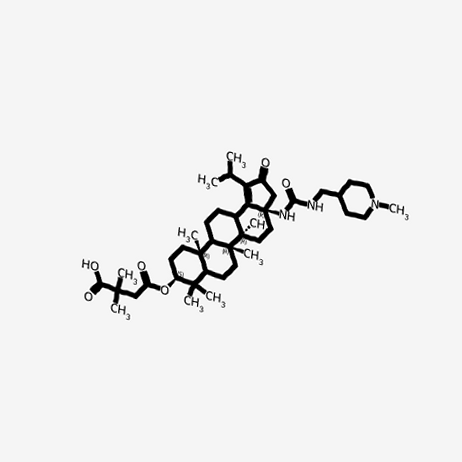 CC(C)C1=C2C3CCC4[C@@]5(C)CC[C@H](OC(=O)CC(C)(C)C(=O)O)C(C)(C)C5CC[C@@]4(C)[C@]3(C)CC[C@@]2(NC(=O)NCC2CCN(C)CC2)CC1=O